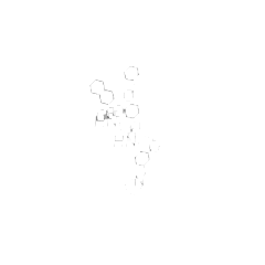 O=C(CC(NS(=O)(=O)c1ccc2ccccc2c1)c1cccc(OCc2ccccc2)c1)NC1CCOc2cc(CN3CCCCC3)ccc21